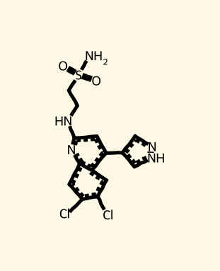 NS(=O)(=O)CCNc1cc(-c2cn[nH]c2)c2cc(Cl)c(Cl)cc2n1